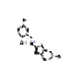 Oc1ccc(Br)cc1/C=N/c1nc2ccc(Br)cc2s1